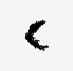 O=[Si]([O-])[O-].O=[Si]([O-])[O-].O=[Si]([O-])[O-].O=[Si]([O-])[O-].[Hf+4].[Hf+4].[Hf+4].[Hf+4].[Hf+4].[O-2].[O-2].[O-2].[O-2].[O]=[Al][O-].[O]=[Al][O-].[O]=[Al][O-].[O]=[Al][O-]